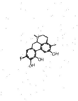 Cc1c(O)cc2c3c1CCN(C)C3Cc1cc(F)c(O)c(O)c1-2